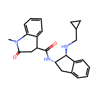 CN1C(=O)CC(C(=O)N[C@H]2Cc3ccccc3[C@@H]2NCC2CC2)c2ccccc21